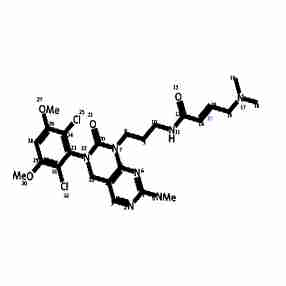 CNc1ncc2c(n1)N(CCCNC(=O)/C=C/CN(C)C)C(=O)N(c1c(Cl)c(OC)cc(OC)c1Cl)C2